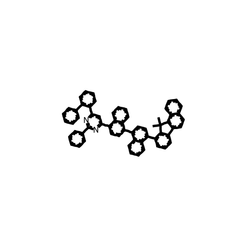 CC1(C)c2c(cccc2-c2ccc(-c3ccc(-c4cc(-c5ccccc5-c5ccccc5)nc(-c5ccccc5)n4)c4ccccc34)c3ccccc23)-c2ccc3ccccc3c21